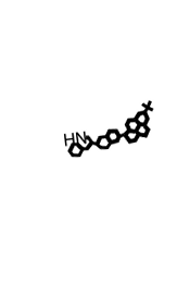 CC(C)(C)c1cc2ccc3ccc(-c4ccc5c(c4)CCC(/C(C=N)=C/C4=CC=CCC4)=C5)c4ccc(c1)c2c34